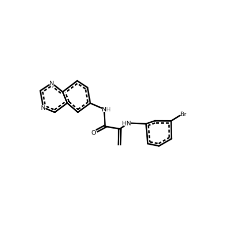 C=C(Nc1cccc(Br)c1)C(=O)Nc1ccc2ncncc2c1